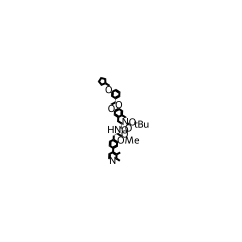 COC(=O)[C@H](Cc1ccc(-c2ccnc(C)c2C)cc1)NC(=O)[C@@H]1Cc2cc3c(cc2CN1C(=O)OC(C)(C)C)O[C@@H](c1cccc(OCC2CCCC2)c1)CO3